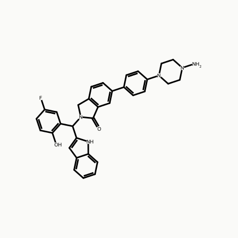 NN1CCN(c2ccc(-c3ccc4c(c3)C(=O)N(C(c3cc5ccccc5[nH]3)c3cc(F)ccc3O)C4)cc2)CC1